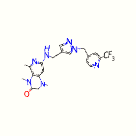 Cc1nc(NCc2cnn(Cc3ccnc(C(F)(F)F)c3)c2)cc2c1N(C)C(=O)CN2C